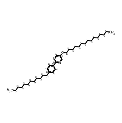 CCCCCCCCCCCCCCCOc1cnc(-c2ccc(CCCCCCCCCCCC)cc2)nc1